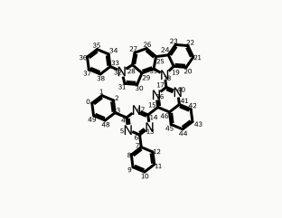 c1ccc(-c2nc(-c3ccccc3)nc(-c3nc(-n4c5ccccc5c5ccc6c(ccn6-c6ccccc6)c54)nc4ccccc34)n2)cc1